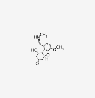 CN/B=C/c1ccc(OC)c2c1C1[C@H](CC(=O)C[C@@H]1O)O2